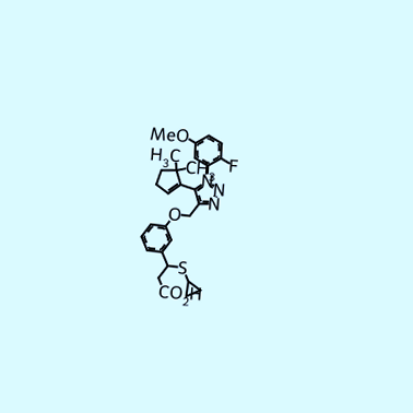 COc1ccc(F)c(-n2nnc(COc3cccc(C(CC(=O)O)SC4CC4)c3)c2C2=CCCC2(C)C)c1